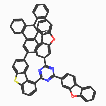 CC1c2ccc(-c3ccc4sc5cccc(-c6nc(-c7ccc8c(c7)oc7ccccc78)nc(C7C=c8oc9ccccc9c8=CC7)n6)c5c4c3)cc2C2=C(C=CCC2)C1c1ccccc1